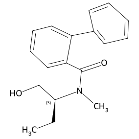 CC[C@@H](CO)N(C)C(=O)c1ccccc1-c1ccccc1